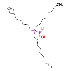 CCCCCCCC[PH](CCCCCCCC)(CCCCCCCC)[PH](=O)O